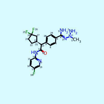 CN(N)/N=C(\N)c1ccc(C(C(=O)Nc2ccc(F)cn2)[C@H]2CCC(F)(F)C2)cc1